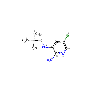 CCOC(=O)C(C)(C#N)CNc1cc(Br)cnc1N